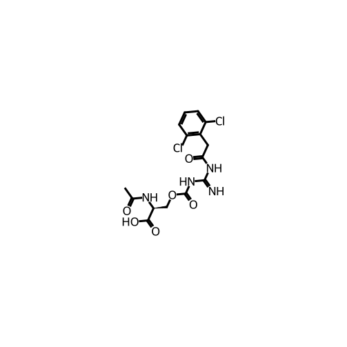 CC(=O)N[C@@H](COC(=O)NC(=N)NC(=O)Cc1c(Cl)cccc1Cl)C(=O)O